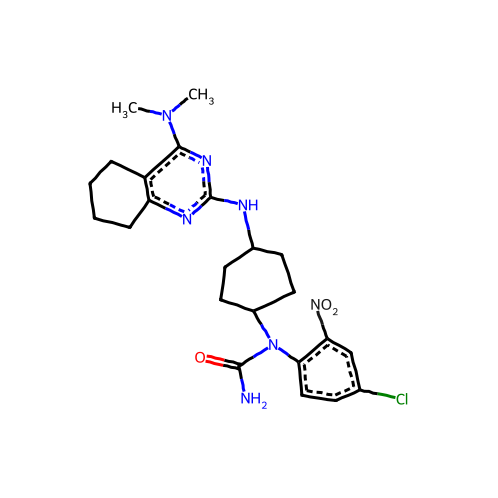 CN(C)c1nc(NC2CCC(N(C(N)=O)c3ccc(Cl)cc3[N+](=O)[O-])CC2)nc2c1CCCC2